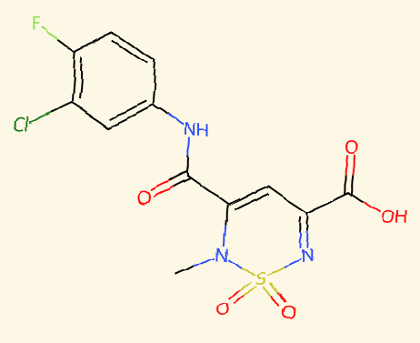 CN1C(C(=O)Nc2ccc(F)c(Cl)c2)=CC(C(=O)O)=NS1(=O)=O